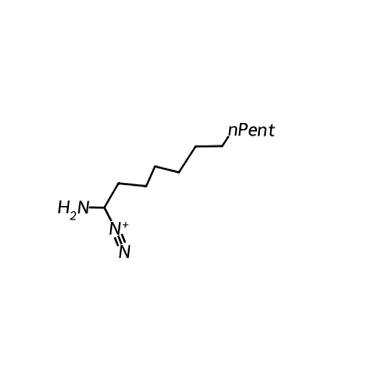 CCCCCCCCCCCC(N)[N+]#N